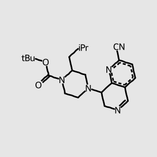 CC(C)CC1CN(C2CN=Cc3ccc(C#N)nc32)CCN1C(=O)OC(C)(C)C